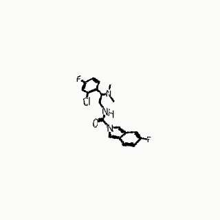 CN(C)C(CNC(=O)n1cc2ccc(F)cc2c1)c1ccc(F)cc1Cl